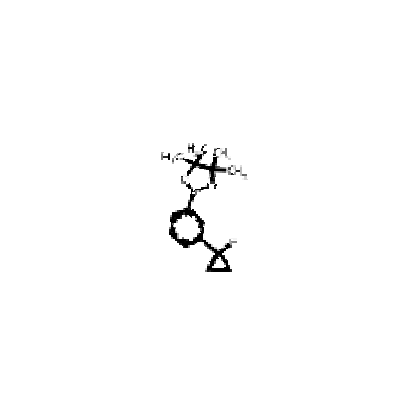 CC1(C)OB(c2cccc(C3(F)CC3)c2)OC1(C)C